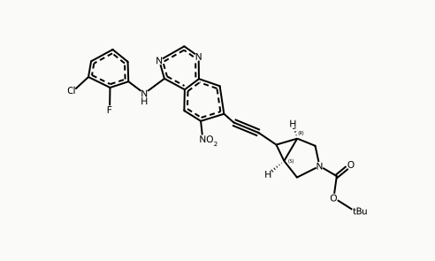 CC(C)(C)OC(=O)N1C[C@@H]2C(C#Cc3cc4ncnc(Nc5cccc(Cl)c5F)c4cc3[N+](=O)[O-])[C@@H]2C1